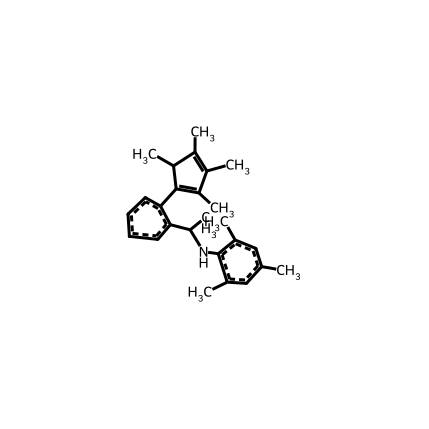 CC1=C(C)C(C)C(c2ccccc2C(C)Nc2c(C)cc(C)cc2C)=C1C